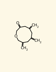 C=C1COCC(=O)CC(=C)CC(=C)C1